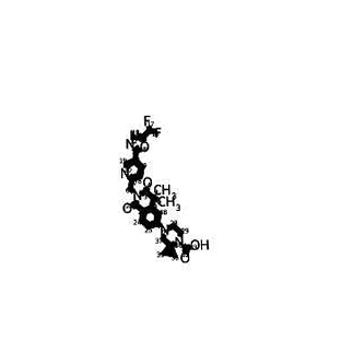 CC1(C)C(=O)N(Cc2ccc(-c3nnc(C(F)F)o3)cn2)C(=O)c2ccc(N3CCN(C(=O)O)C4(CC4)C3)cc21